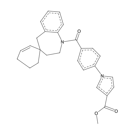 COC(=O)c1ccn(-c2ccc(C(=O)N3CCC4(C=CCCC4)Cc4ccccc43)cc2)c1